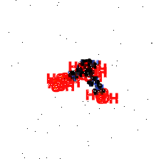 CCN(C(C)C)C(C)C.CCN(C(C)C)C(C)C.CCN(C(C)C)C(C)C.CC[N+](C(C)C)(C(C)C)[C@@]1(O)[C@](O)([N+](CC)(C(C)C)C(C)C)[C@H](O)[C@@H](O)[C@H](O)[C@@]1(O)[N+](CC)(C(C)C)C(C)C.O=P(O)(O)O.O=P([O-])(O)O.O=P([O-])([O-])O